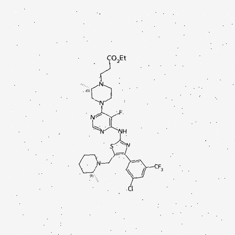 CCOC(=O)CCN1CCN(c2ncnc(Nc3nc(-c4cc(Cl)cc(C(F)(F)F)c4)c(CN4CCCC[C@H]4C)s3)c2F)C[C@@H]1C